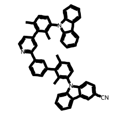 Cc1ccc(-n2c3ccccc3c3ccccc32)c(C)c1-c1ccnc(-c2cccc(-c3c(C)ccc(-n4c5ccccc5c5cc(C#N)ccc54)c3C)c2)c1